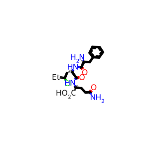 CCC(Cl)C[C@H](NC(=O)[C@@H](N)Cc1ccccc1)C(=O)N[C@@H](CCC(N)=O)C(=O)O